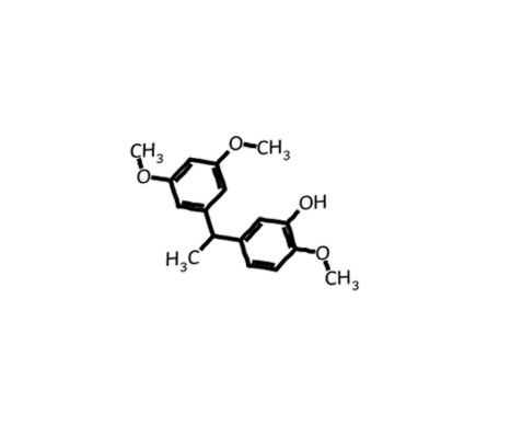 COc1cc(OC)cc(C(C)c2ccc(OC)c(O)c2)c1